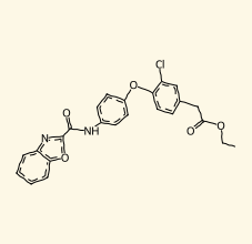 CCOC(=O)Cc1ccc(Oc2ccc(NC(=O)c3nc4ccccc4o3)cc2)c(Cl)c1